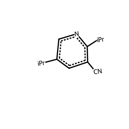 CC(C)c1cnc(C(C)C)c(C#N)c1